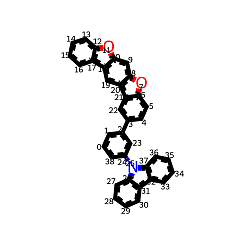 c1cc(-c2ccc3oc4cc5oc6ccccc6c5cc4c3c2)cc(-n2c3ccccc3c3ccccc32)c1